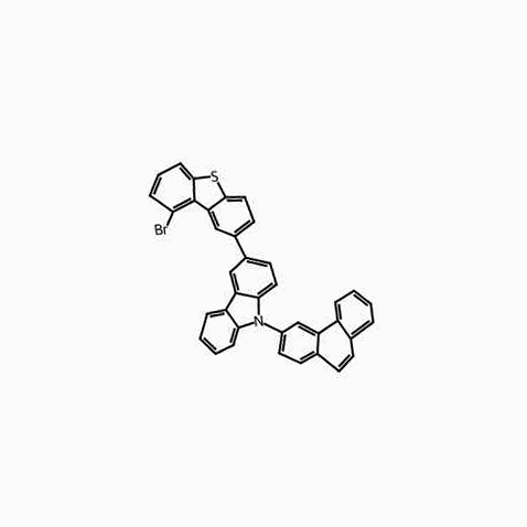 Brc1cccc2sc3ccc(-c4ccc5c(c4)c4ccccc4n5-c4ccc5ccc6ccccc6c5c4)cc3c12